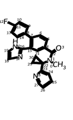 CN(C(=O)c1ccc(-c2ccc(F)cc2)c(-c2ncc[nH]2)c1)C1(c2ccccn2)CC1